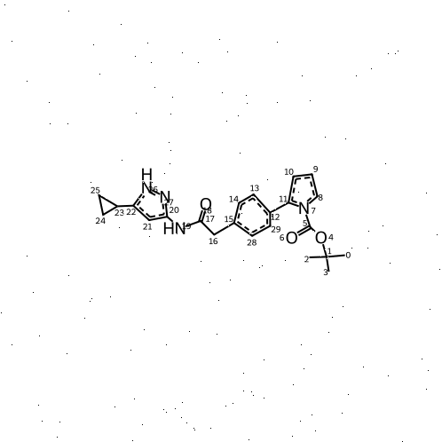 CC(C)(C)OC(=O)n1cccc1-c1ccc(CC(=O)Nc2cc(C3CC3)[nH]n2)cc1